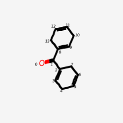 O=C(C1=CCC=CC1)C1=CCC=CC1